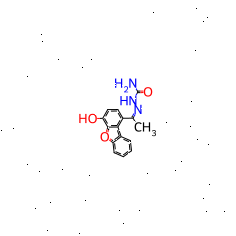 C/C(=N/NC(N)=O)c1ccc(O)c2oc3ccccc3c12